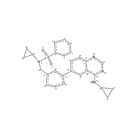 O=S(=O)(c1ccccc1)N(Cc1cccc(-c2ccc3ncnc(NC4CC4)c3c2)c1)C1CC1